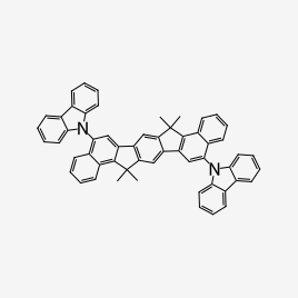 CC1(C)c2cc3c(cc2-c2cc(-n4c5ccccc5c5ccccc54)c4ccccc4c21)C(C)(C)c1c-3cc(-n2c3ccccc3c3ccccc32)c2ccccc12